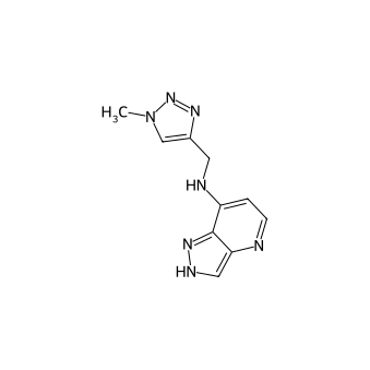 Cn1cc(CNc2ccnc3c[nH]nc23)nn1